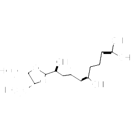 C=C(CCC=C(C)CCC=C(C)C)C1O[C@@H](C(=O)O)[C@H](C(=O)O)O1